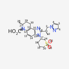 C[C@H](Cn1cccn1)c1nc2c3c(ccc2n1[C@H]1CCCS(=O)(=O)C1)N(C(=O)O)[C@@H](C)CC3